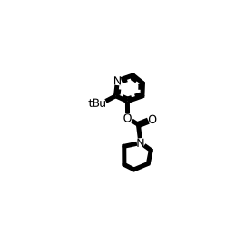 CC(C)(C)c1ncccc1OC(=O)N1CCCCC1